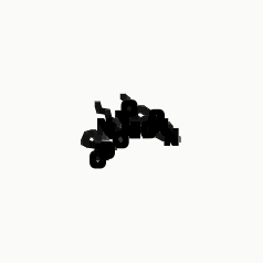 CCCc1nn(Cc2ccccc2[N+](=O)[O-])c2c(=O)[nH]c(-c3cc(S(=O)(=O)N4CCN(C)CC4)ccc3OCC)nc12